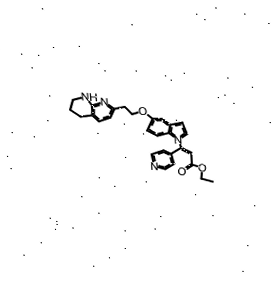 CCOC(=O)C=C(c1ccncc1)n1ccc2cc(OCCc3ccc4c(n3)NCCC4)ccc21